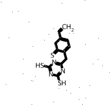 C=CC1=CC=C(Cc2nc(S)nc(S)n2)C(=S)C1